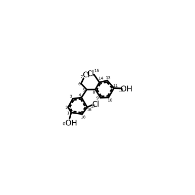 Oc1ccc(C(CCl)c2ccc(O)cc2Cl)c(Cl)c1